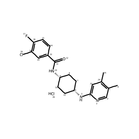 Cc1cnc(N[C@H]2CC[C@@H](NC(=O)c3ccc(F)c(Cl)c3)CC2)cc1C.Cl